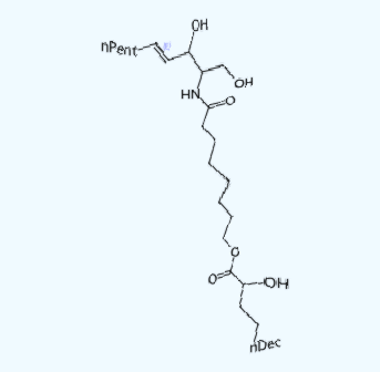 CCCCC/C=C/C(O)C(CO)NC(=O)CCCCCCCOC(=O)C(O)CCCCCCCCCCCC